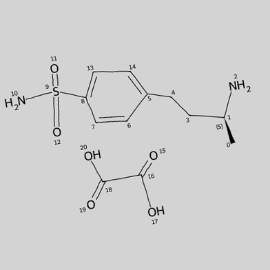 C[C@H](N)CCc1ccc(S(N)(=O)=O)cc1.O=C(O)C(=O)O